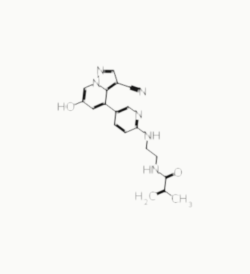 C=C(C)C(=O)NCCNc1ccc(-c2cc(O)cn3ncc(C#N)c23)cn1